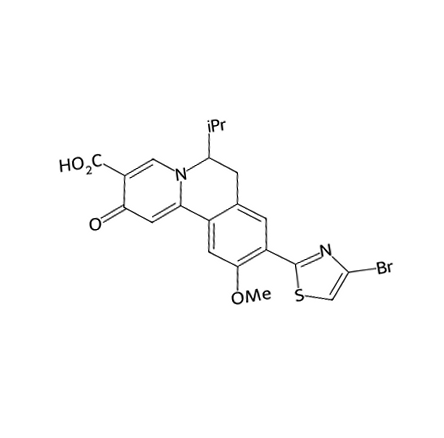 COc1cc2c(cc1-c1nc(Br)cs1)CC(C(C)C)n1cc(C(=O)O)c(=O)cc1-2